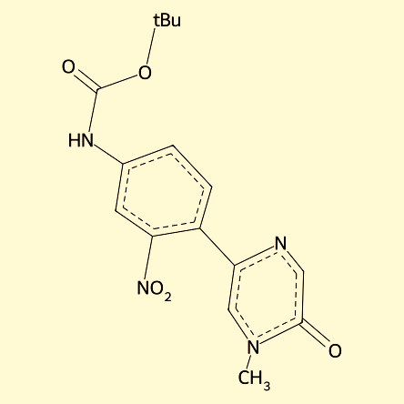 Cn1cc(-c2ccc(NC(=O)OC(C)(C)C)cc2[N+](=O)[O-])ncc1=O